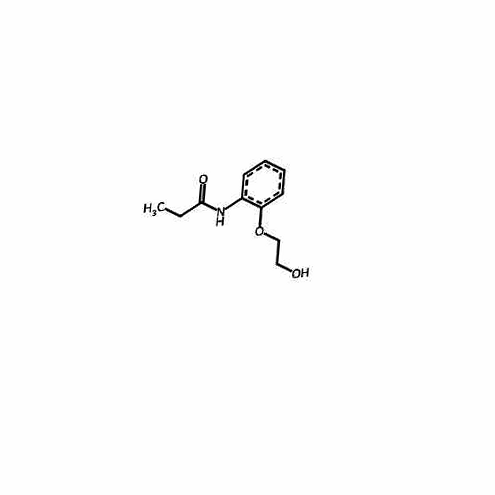 CCC(=O)Nc1ccccc1OCCO